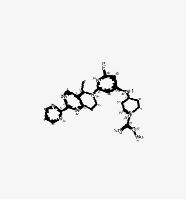 CC1c2cnc(-c3ncccn3)nc2CCN1c1cc(NC2CCN(C(=O)OC(C)(C)C)CC2)cc(F)n1